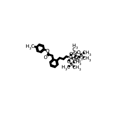 Cc1ccc(OC(=O)Cc2ccccc2CCC[Si](C)(O[Si](C)(C)C)O[Si](C)(C)O[Si](C)(C)C)cc1